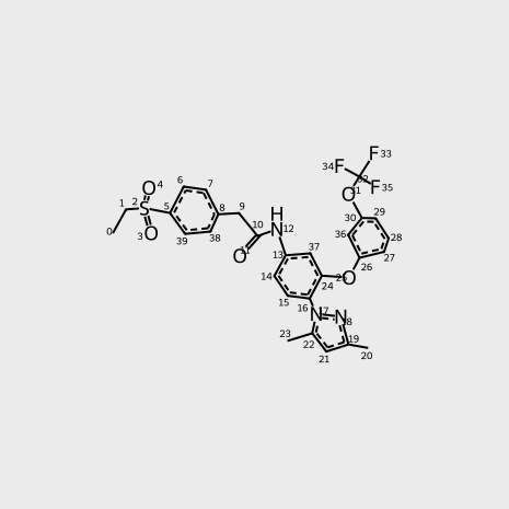 CCS(=O)(=O)c1ccc(CC(=O)Nc2ccc(-n3nc(C)cc3C)c(Oc3cccc(OC(F)(F)F)c3)c2)cc1